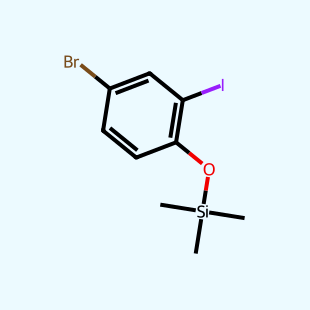 C[Si](C)(C)Oc1ccc(Br)cc1I